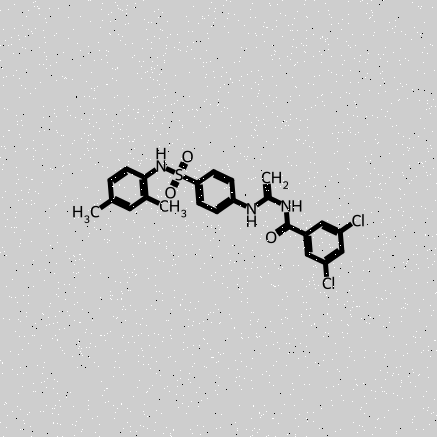 C=C(NC(=O)c1cc(Cl)cc(Cl)c1)Nc1ccc(S(=O)(=O)Nc2ccc(C)cc2C)cc1